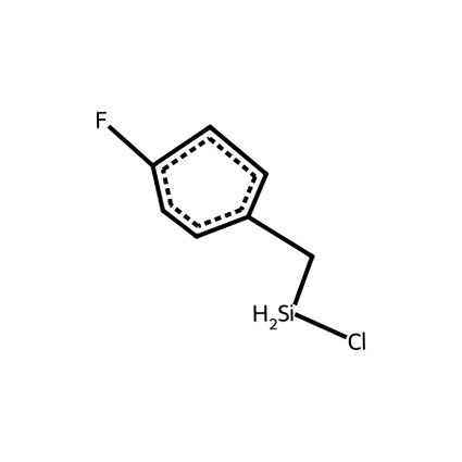 Fc1ccc(C[SiH2]Cl)cc1